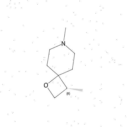 C[C@@H]1COC12CCN(C)CC2